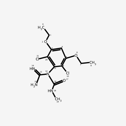 CCOc1cc(OCC)c(Cl)c(N(C(=N)N)C(=O)NC)c1Cl